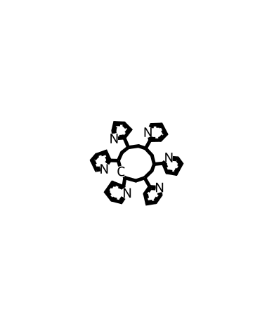 c1ccc(C2CC(c3ccccn3)CC(c3ccccn3)CC(c3ccccn3)CC(c3ccccn3)CC(c3ccccn3)C2)nc1